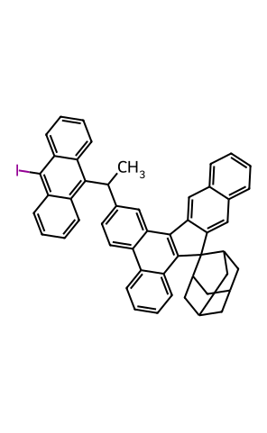 CC(c1ccc2c(c1)c1c(c3ccccc32)C2(c3cc4ccccc4cc3-1)C1CC3CC(C1)CC2C3)c1c2ccccc2c(I)c2ccccc12